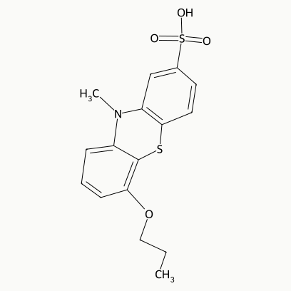 CCCOc1cccc2c1Sc1ccc(S(=O)(=O)O)cc1N2C